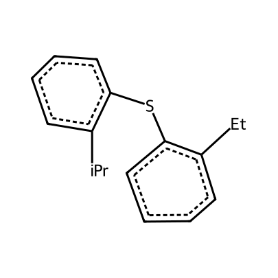 CCc1ccccc1Sc1ccccc1C(C)C